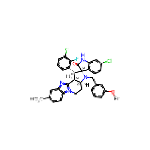 CCOc1cccc(CN2[C@H]3CCn4c(nc5cc(C(=O)O)ccc54)[C@H]3[C@H](c3cccc(Cl)c3F)[C@]23C(=O)Nc2cc(Cl)ccc23)c1